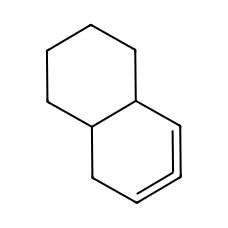 C1=CCC2CCCCC2C=1